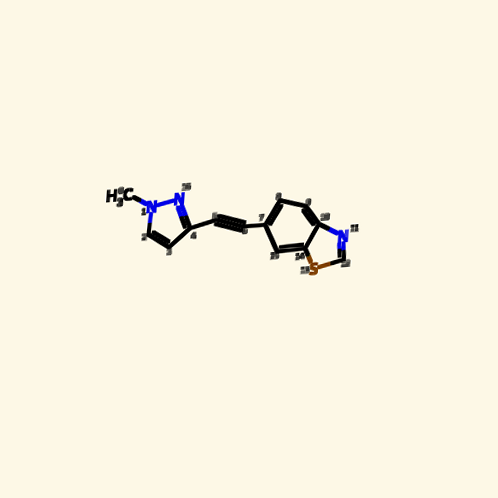 Cn1ccc(C#Cc2ccc3ncsc3c2)n1